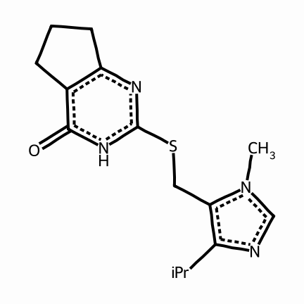 CC(C)c1ncn(C)c1CSc1nc2c(c(=O)[nH]1)CCC2